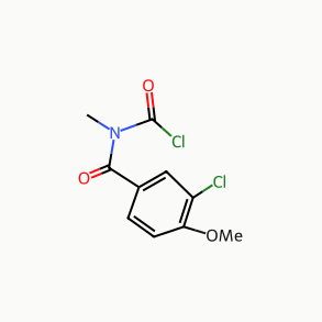 COc1ccc(C(=O)N(C)C(=O)Cl)cc1Cl